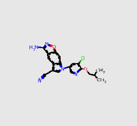 CC(C)COc1ncc(-n2cc(C#N)c3cc4c(N)noc4cc32)cc1Cl